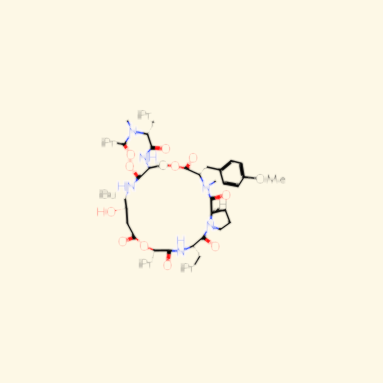 CC[C@H](C)[C@H]1NC(=O)[C@@H](NC(=O)[C@@H](CC(C)C)N(C)C(=O)C(C)C)COC(=O)[C@H](Cc2ccc(OC)cc2)N(C)C(=O)[C@@H]2CCCN2C(=O)[C@H](CC(C)C)NC(=O)[C@H](C(C)C)OC(=O)C[C@@H]1O